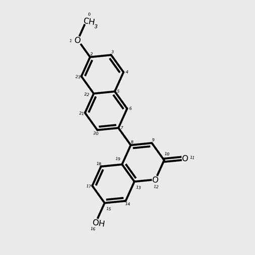 COc1ccc2cc(-c3cc(=O)oc4cc(O)ccc34)ccc2c1